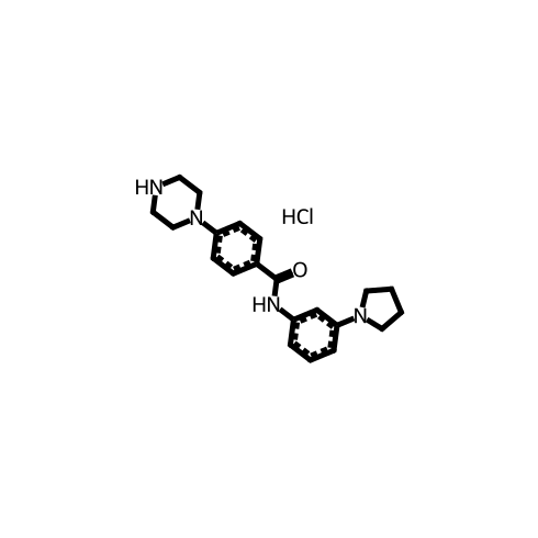 Cl.O=C(Nc1cccc(N2CCCC2)c1)c1ccc(N2CCNCC2)cc1